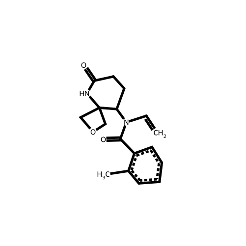 C=CN(C(=O)c1ccccc1C)C1CCC(=O)NC12COC2